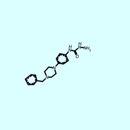 NNC(=O)Nc1ccc(N2CCN(Cc3ccccc3)CC2)cc1